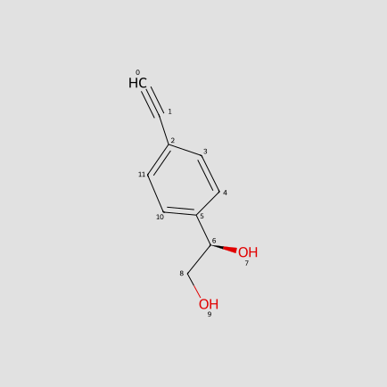 C#Cc1ccc([C@@H](O)CO)cc1